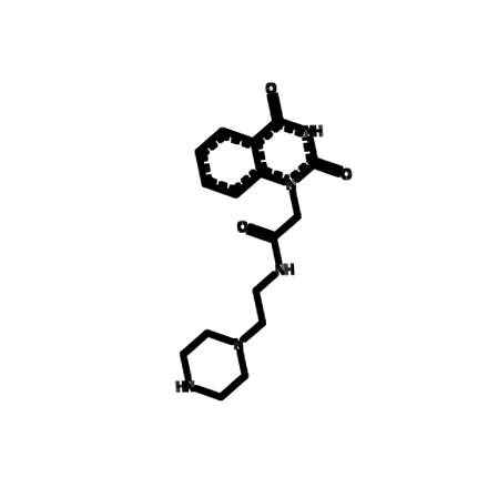 O=C(Cn1c(=O)[nH]c(=O)c2ccccc21)NCCN1CCNCC1